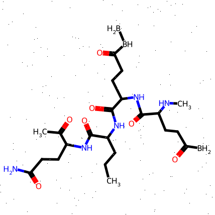 BBC(=O)CCC(NC(=O)C(CCC(B)=O)NC)C(=O)NC(CCC)C(=O)NC(CCC(N)=O)C(C)=O